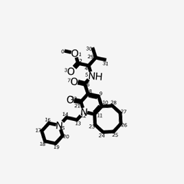 COC(=O)C(NC(=O)c1cc2c(n(CCN3CCCCC3)c1=O)CCCCCC2)C(C)C